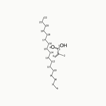 C=C(C)C(=O)O.CCCCCCCCCCCCCCCCC